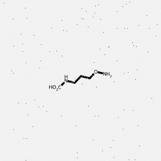 NOCCCNC(=O)O